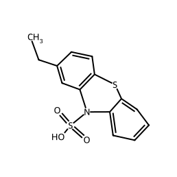 CCc1ccc2c(c1)N(S(=O)(=O)O)c1ccccc1S2